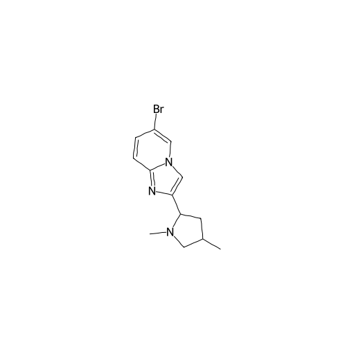 CC1CC(c2cn3cc(Br)ccc3n2)N(C)C1